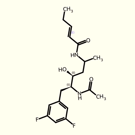 CC/C=C/C(=O)NC(C)C[C@H](O)[C@H](Cc1cc(F)cc(F)c1)NC(C)=O